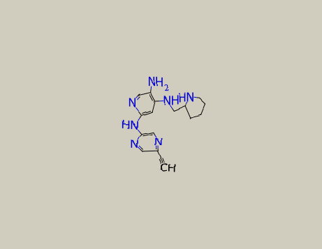 C#Cc1cnc(Nc2cc(NCC3CCCCN3)c(N)cn2)cn1